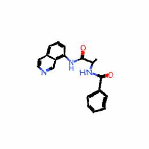 CC(NC(=O)c1ccccc1)C(=O)Nc1cccc2ccncc12